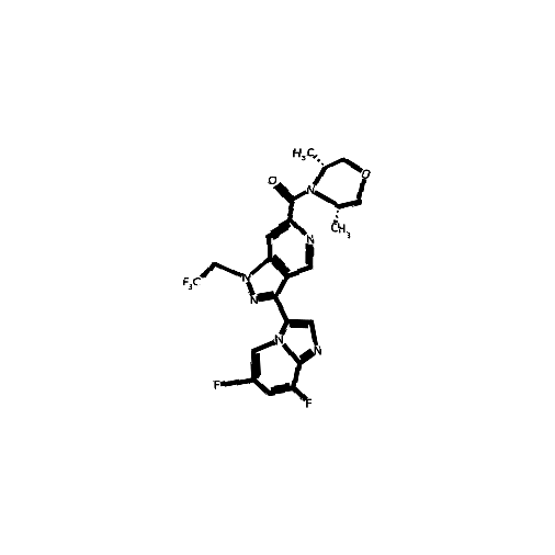 C[C@@H]1COC[C@H](C)N1C(=O)c1cc2c(cn1)c(-c1cnc3c(F)cc(F)cn13)nn2CC(F)(F)F